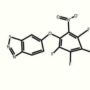 Cc1c(F)c(F)c(Oc2ccc3nnsc3c2)c([N+](=O)[O-])c1F